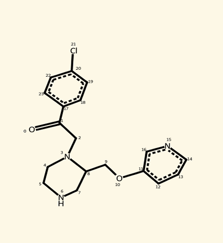 O=C(CN1CCNCC1COc1cccnc1)c1ccc(Cl)cc1